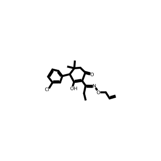 C=CCON=C(CC)C1=C(O)C(c2cccc(Cl)c2)C(C)(C)CC1=O